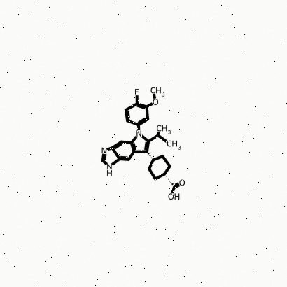 COc1cc(-n2c(C(C)C)c([C@H]3CC[C@@H](C(=O)O)CC3)c3cc4[nH]cnc4cc32)ccc1F